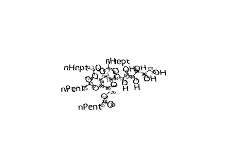 CCCCCCCC(=O)O[C@@H]1[C@H](OC(=O)CCCCCCC)[C@H](OC(O)[C@@H](O)[C@@H](O)[C@H](O)[C@H](O)CO)O[C@H](COC(=O)CCCCC)[C@H]1OC(=O)CCCCC